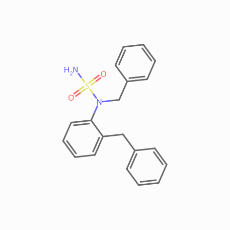 NS(=O)(=O)N(Cc1ccccc1)c1ccccc1Cc1ccccc1